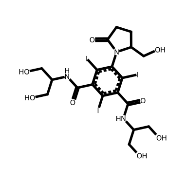 O=C(NC(CO)CO)c1c(I)c(C(=O)NC(CO)CO)c(I)c(N2C(=O)CCC2CO)c1I